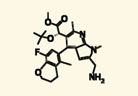 COC(=O)[C@@H](OC(C)(C)C)c1c(C)nc2c(cc(CN)n2C)c1-c1cc(F)c2c(c1C)CCCO2